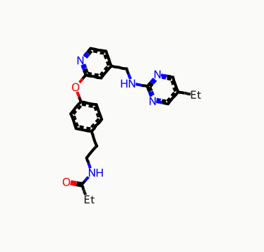 CCC(=O)NCCc1ccc(Oc2cc(CNc3ncc(CC)cn3)ccn2)cc1